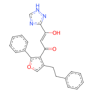 O=C(C=C(O)c1nc[nH]n1)c1c(CCc2ccccc2)coc1-c1ccccc1